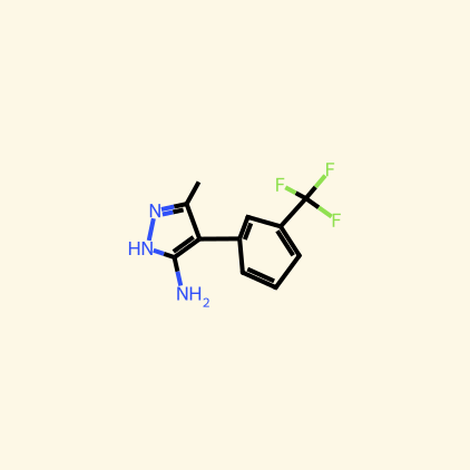 Cc1n[nH]c(N)c1-c1cccc(C(F)(F)F)c1